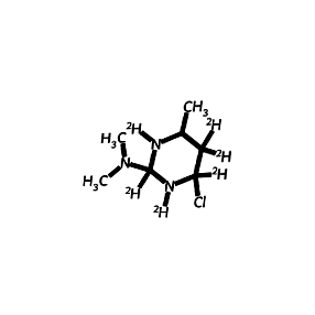 [2H]N1C(C)C([2H])([2H])C([2H])(Cl)N([2H])C1([2H])N(C)C